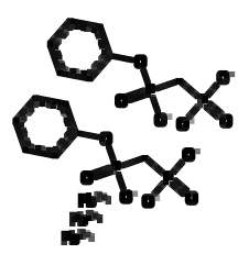 O=P([O-])([O-])CP(=O)([O-])Oc1ccccc1.O=P([O-])([O-])CP(=O)([O-])Oc1ccccc1.[Pb+2].[Pb+2].[Pb+2]